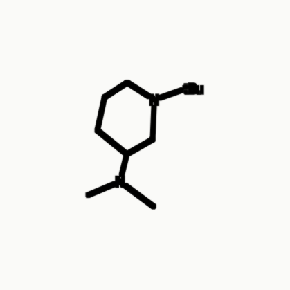 CN(C)C1CCCN(C(C)(C)C)C1